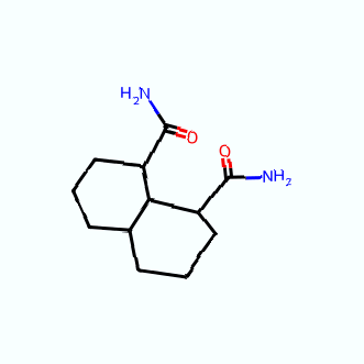 NC(=O)C1CCCC2CCCC(C(N)=O)C21